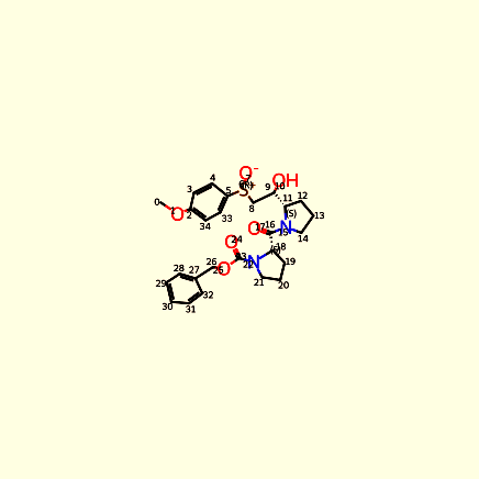 COc1ccc([S@@+]([O-])CC(O)[C@@H]2CCCN2C(=O)[C@@H]2CCCN2C(=O)OCc2ccccc2)cc1